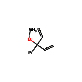 C=CC(C=C)(O[SiH3])C(C)C